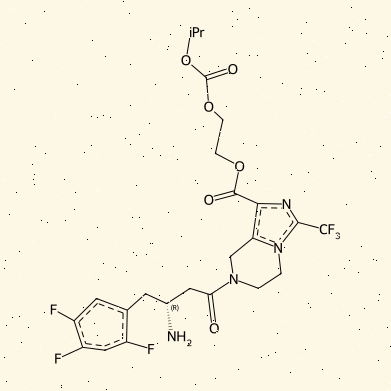 CC(C)OC(=O)OCCOC(=O)c1nc(C(F)(F)F)n2c1CN(C(=O)C[C@H](N)Cc1cc(F)c(F)cc1F)CC2